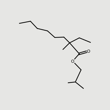 CCCCCCC(C)(CC)C(=O)OCC(C)C